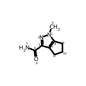 Cn1nc(C(N)=O)c2c1CCC2